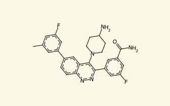 Cc1cc(F)cc(-c2ccc3nnc(-c4cc(F)cc(C(N)=O)c4)c(N4CCC(N)CC4)c3c2)c1